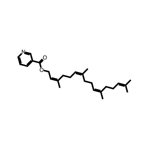 CC(C)=CCCC(C)=CCCC(C)=CCCC(C)=CCOC(=O)c1cccnc1